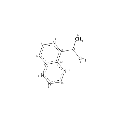 CC(C)c1nccc2nncnc12